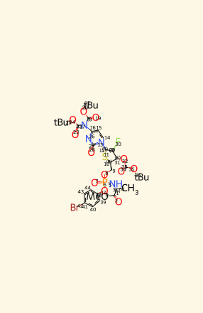 COC(=O)[C@H](C)NP(=O)(OC[C@H]1S[C@@H](n2ccc(N(C(=O)OC(C)(C)C)C(=O)OC(C)(C)C)nc2=O)[C@@H](F)[C@@H]1OC(=O)OC(C)(C)C)Oc1ccc(Br)cc1